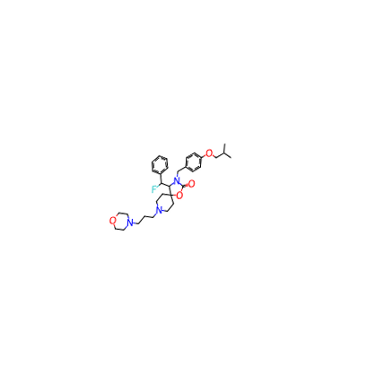 CC(C)COc1ccc(CN2C(=O)OC3(CCN(CCCN4CCOCC4)CC3)C2C(F)c2ccccc2)cc1